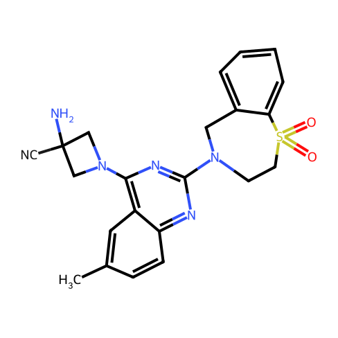 Cc1ccc2nc(N3CCS(=O)(=O)c4ccccc4C3)nc(N3CC(N)(C#N)C3)c2c1